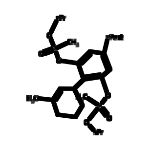 CCCCCc1cc(OP(C)(=O)OCCC)c(C2C=C(C)CCC2)c(OP(C)(=O)OCCC)c1